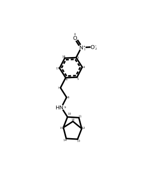 O=[N+]([O-])c1ccc(CCNC2CC3CCC2C3)cc1